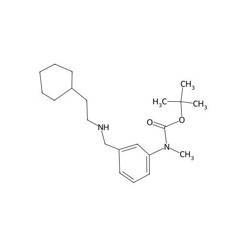 CN(C(=O)OC(C)(C)C)c1cccc(CNCCC2CCCCC2)c1